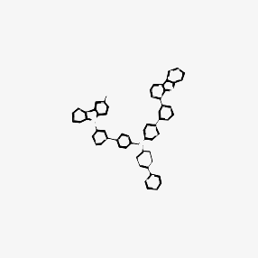 Ic1ccc2c(c1)c1ccccc1n2-c1cccc(-c2ccc(N(C3=CC=C(c4ccccc4)CC3)c3ccc(-c4cccc(-c5cccc6c5sc5ccccc56)c4)cc3)cc2)c1